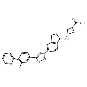 O=C(O)[C@H]1C[C@H](NC2CCc3cc(-c4noc(-c5ccc(-c6ccccc6)c(F)c5)n4)ccc32)C1